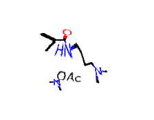 C=C(C)C(=O)NCCCN(C)C.CC(=O)ON(C)C